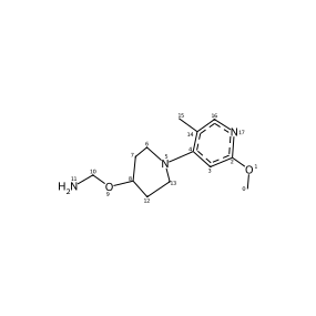 COc1cc(N2CCC(OCN)CC2)c(C)cn1